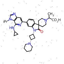 CC(C(=O)O)N1CCC2(CC1)C(=O)N([C@H]1C[C@@H](N3CCCCC3)C1)c1cc(-c3cc4ncn(C(C)C)c4c(NC4CC4)n3)ccc12